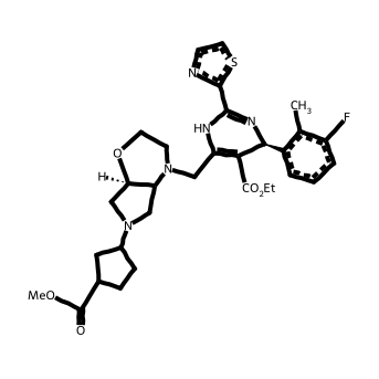 CCOC(=O)C1=C(CN2CCO[C@@H]3CN(C4CCC(C(=O)OC)C4)CC32)NC(c2nccs2)=N[C@H]1c1cccc(F)c1C